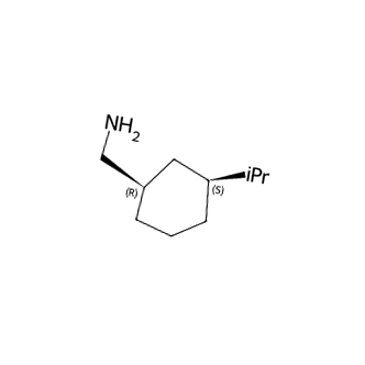 CC(C)[C@H]1CCC[C@@H](CN)C1